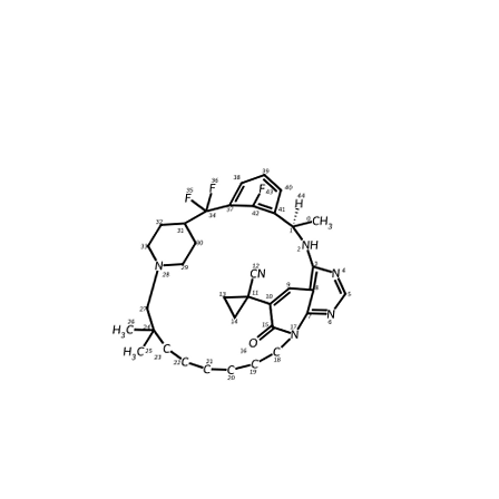 C[C@H]1Nc2ncnc3c2cc(C2(C#N)CC2)c(=O)n3CCCCCCC(C)(C)CN2CCC(CC2)C(F)(F)c2cccc1c2F